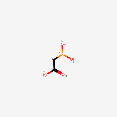 O=C(O)CP(O)O